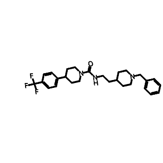 O=C(NCCC1CCN(Cc2ccccc2)CC1)N1CCC(c2ccc(C(F)(F)F)cc2)CC1